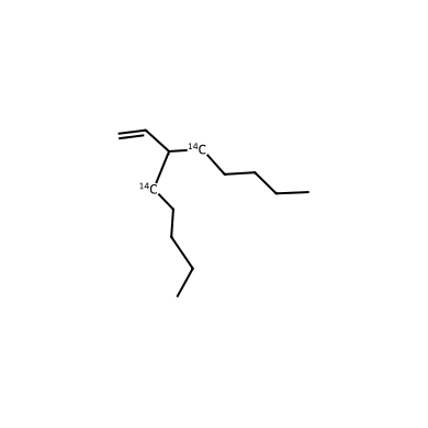 C=C[C]([14CH2]CCCC)[14CH2]CCCC